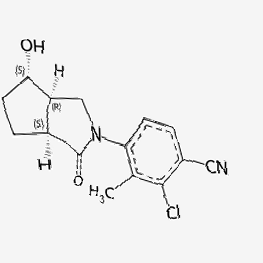 Cc1c(N2C[C@H]3[C@H](CC[C@@H]3O)C2=O)ccc(C#N)c1Cl